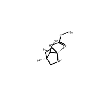 CC(C)(C)OC(=O)N[C@@H]1[C@H]2CN[C@@H]1[C@@H](O)C2